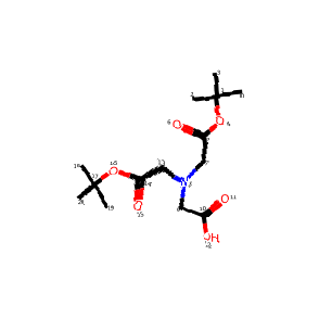 CC(C)(C)OC(=O)CN(CC(=O)O)CC(=O)OC(C)(C)C